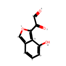 O=CC(=O)c1occ2cccc(O)c12